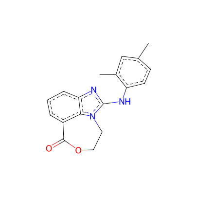 Cc1ccc(Nc2nc3cccc4c3n2CCOC4=O)c(C)c1